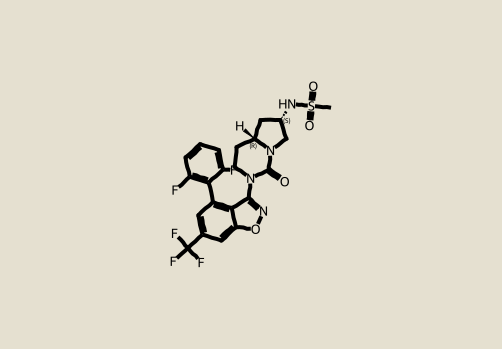 CS(=O)(=O)N[C@H]1C[C@H]2CCN(c3noc4cc(C(F)(F)F)cc(-c5c(F)cccc5F)c34)C(=O)N2C1